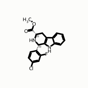 COC(=O)[C@@H]1Cc2c([nH]c3ccccc23)[C@H](c2ccc(Cl)cc2F)N1